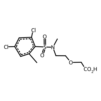 Cc1cc(Cl)cc(Cl)c1S(=O)(=O)N(C)CCOCC(=O)O